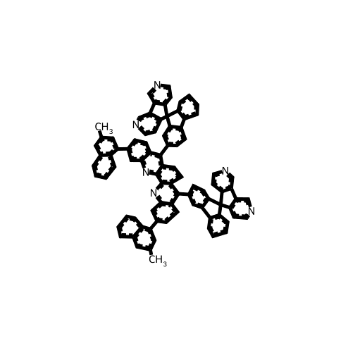 Cc1cc(-c2ccc3c(-c4ccc5c(c4)-c4ccccc4C54c5ccncc5-c5cnccc54)c4ccc5c(-c6ccc7c(c6)C6(c8ccccc8-7)c7ccncc7-c7cnccc76)c6ccc(-c7cc(C)cc8ccccc78)cc6nc5c4nc3c2)c2ccccc2c1